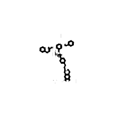 COc1cc2c(cc1C)CCN(CCc1ccc(-n3nnc(-c4cc(OCc5ccccc5)c(C)cc4NC(=O)c4cc(=O)c5ccccc5o4)n3)cc1)C2